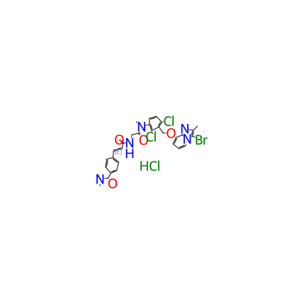 Cc1nc2c(OCc3c(Cl)ccc(N(C)C(=O)CNC(=O)/C=C/c4ccc(C(=O)N(C)C)cc4)c3Cl)cccn2c1Br.Cl